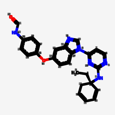 CC[C@@]1(Nc2nccc(-n3cnc4cc(Oc5ccc(NC=O)cc5)ccc43)n2)C=CC=CC1